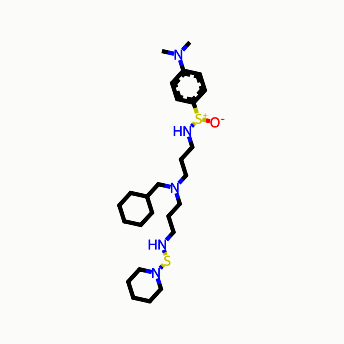 CN(C)c1ccc([S+]([O-])NCCCN(CCCNSN2CCCCC2)CC2CCCCC2)cc1